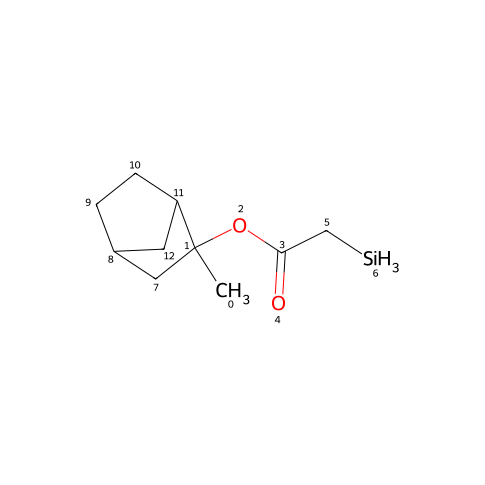 CC1(OC(=O)C[SiH3])CC2CCC1C2